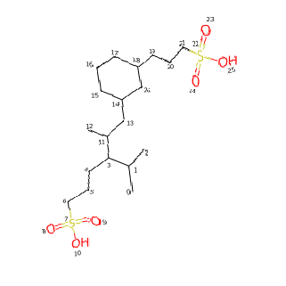 CC(C)C(CCCS(=O)(=O)O)C(C)CC1CCCC(CCCS(=O)(=O)O)C1